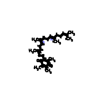 CC(C)=CCC/C(C)=C/CC/C(C)=C/CC[C@H](C)CCC1=C(C)C(=O)C(C)=C(C)C1=O